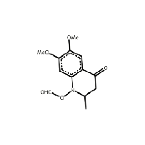 COc1cc2c(cc1OC)N(OC=O)C(C)CC2=O